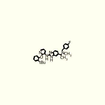 CC(c1ccc2nc(Nc3cccnc3Oc3ccccc3C(C)(C)C)[nH]c2c1)N(C)Cc1ccc(F)cc1